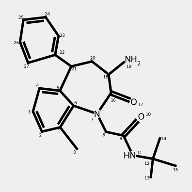 Cc1cccc2c1N(CC(=O)NC(C)(C)C)C(=O)C(N)CC2c1ccccc1